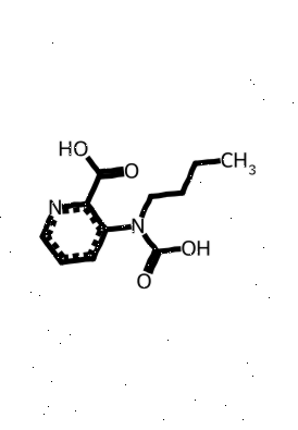 CCCCN(C(=O)O)c1cccnc1C(=O)O